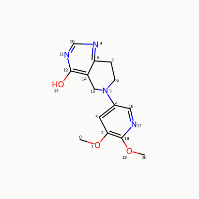 COc1cc(N2CCc3ncnc(O)c3C2)cnc1OC